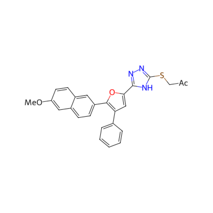 COc1ccc2cc(-c3oc(-c4nnc(SCC(C)=O)[nH]4)cc3-c3ccccc3)ccc2c1